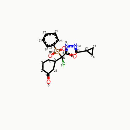 O=C1CCCC(C(F)(c2nnc(C3CC3)o2)S(=O)(=O)c2ccccc2)C1